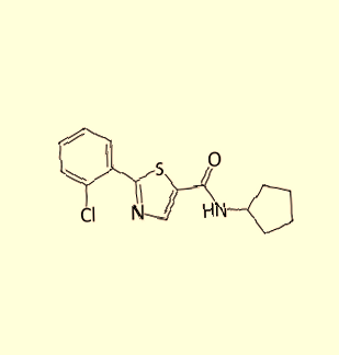 O=C(NC1CCCC1)c1cnc(-c2ccccc2Cl)s1